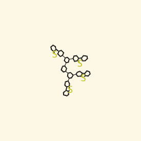 c1cc(-c2cc(-c3ccc4c(c3)sc3ccccc34)cc(-c3ccc4c(c3)sc3ccccc34)c2)cc(-c2cc(-c3ccc4c(c3)sc3ccccc34)cc(-c3ccc4c(c3)sc3ccccc34)c2)c1